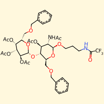 CC(=O)N[C@@H]1[C@@H](OCCCNC(=O)C(F)(F)F)O[C@@H](COCc2ccccc2)[C@H](O[C@H]2O[C@@H](COCc3ccccc3)[C@@H](OC(C)=O)[C@@H](OC(C)=O)[C@@H]2OC(C)=O)[C@H]1OC(C)=O